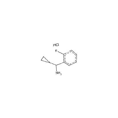 Cl.NC(c1ccccc1F)C1CC1